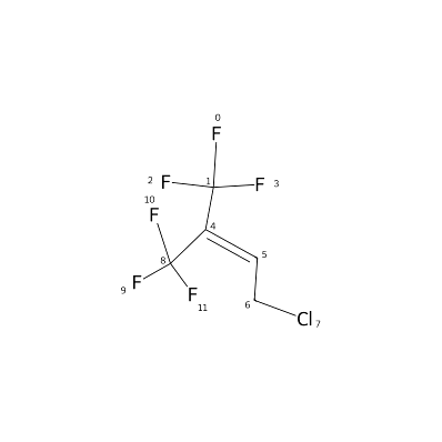 FC(F)(F)C(=CCCl)C(F)(F)F